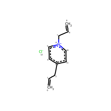 C=CCc1cc[n+](CC=C)cc1.[Cl-]